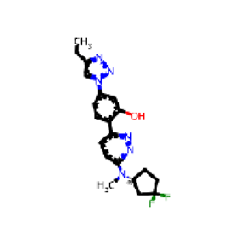 CCc1cn(-c2ccc(-c3ccc(N(C)[C@@H]4CCC(F)(F)C4)nn3)c(O)c2)nn1